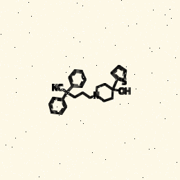 N#CC(CCCN1CCC(O)(c2cccs2)CC1)(c1ccccc1)c1ccccc1